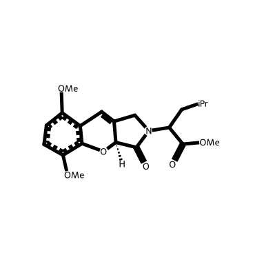 COC(=O)C(CC(C)C)N1CC2=Cc3c(OC)ccc(OC)c3O[C@@H]2C1=O